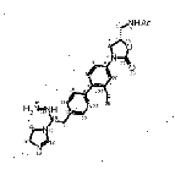 CC(=O)NC[C@H]1CN(c2ccc(-c3ccc(C[C@H](NN)N4C=NCC4)cn3)c(F)c2)C(=O)O1